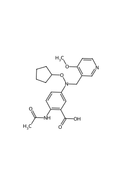 COc1ccncc1CN(OC1CCCC1)c1ccc(NC(C)=O)c(C(=O)O)c1